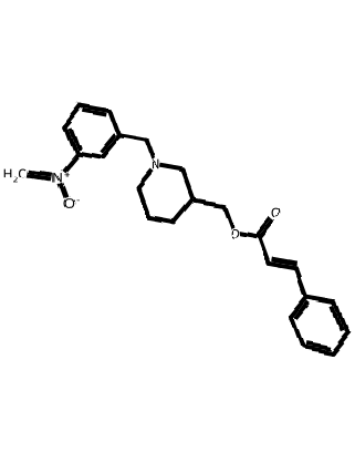 C=[N+]([O-])c1cccc(CN2CCCC(COC(=O)/C=C/c3ccccc3)C2)c1